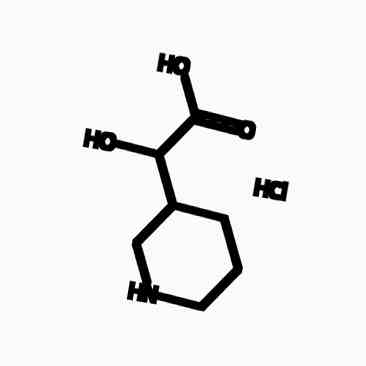 Cl.O=C(O)C(O)C1CCCNC1